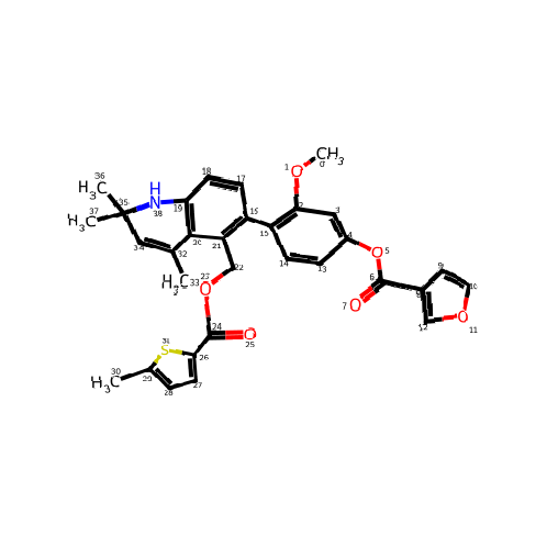 COc1cc(OC(=O)c2ccoc2)ccc1-c1ccc2c(c1COC(=O)c1ccc(C)s1)C(C)=CC(C)(C)N2